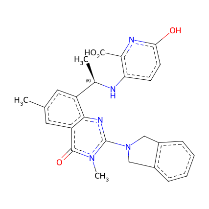 Cc1cc([C@@H](C)Nc2ccc(O)nc2C(=O)O)c2nc(N3Cc4ccccc4C3)n(C)c(=O)c2c1